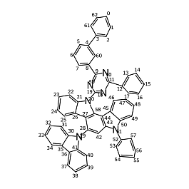 c1ccc(-c2cccc(-c3nc(-c4ccccc4)nc(-n4c5ccccc5c5c(-n6c7ccccc7c7ccccc76)cc6c(c7ccccc7n6-c6ccccc6)c54)n3)c2)cc1